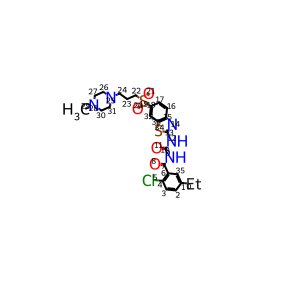 CCc1ccc(Cl)c(C(=O)NC(=O)Nc2nc3ccc(S(=O)(=O)CCCN4CCN(C)CC4)cc3s2)c1